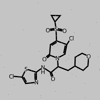 O=C(Nc1ncc(Cl)s1)C(CC1CCOCC1)n1cc(Cl)c(S(=O)(=O)C2CC2)cc1=O